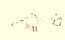 C#CO[C@@]1(C)[C@H](NCCCCN)[C@@H](C)NC[C@H](C)C[C@@](C)(OC)[C@H](O[C@@H]2O[C@H](COC(=O)c3ccccc3)CC(N(C)C)C2OC)[C@@H](C)C(=O)[C@@H](C)C(=O)O[C@@H]1CC